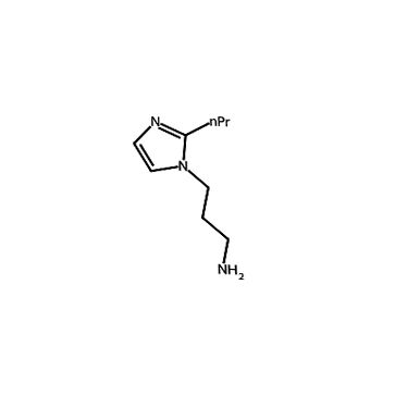 CCCc1nccn1CCCN